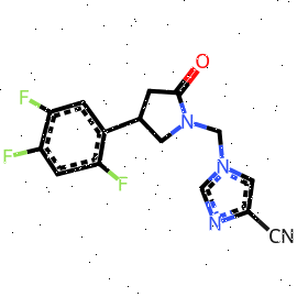 N#Cc1cn(CN2CC(c3cc(F)c(F)cc3F)CC2=O)cn1